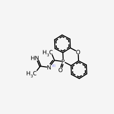 CC(=N)/N=C(\C)P1(=O)c2ccccc2Oc2ccccc21